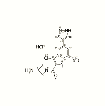 Cl.NC1CN(C(=O)c2nc3c(C(F)(F)F)cc(-c4cn[nH]c4)cn3c2Cl)C1